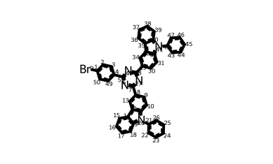 Brc1ccc(-c2nc(-c3ccc4c(c3)c3ccccc3n4-c3ccccc3)nc(-c3ccc4c(c3)c3ccccc3n4-c3ccccc3)n2)cc1